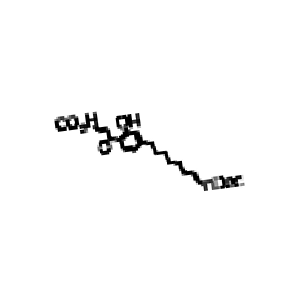 CCCCCCCCCCCCCCCCCCc1ccc(C(=O)/C=C/C(=O)O)c(O)c1